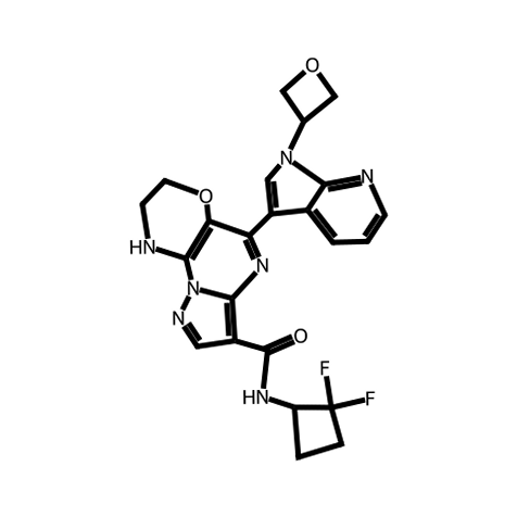 O=C(NC1CCC1(F)F)c1cnn2c3c(c(-c4cn(C5COC5)c5ncccc45)nc12)OCCN3